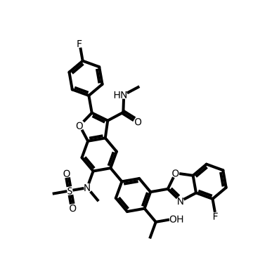 CNC(=O)c1c(-c2ccc(F)cc2)oc2cc(N(C)S(C)(=O)=O)c(-c3ccc(C(C)O)c(-c4nc5c(F)cccc5o4)c3)cc12